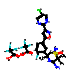 CC1(C)C(N)=N[C@](C)(c2cc(-c3cc(-c4ncc(Cl)cn4)no3)ccc2F)C[S@@]1(=N)=O.O=C(O)C(F)(F)F.O=C(O)C(F)(F)F